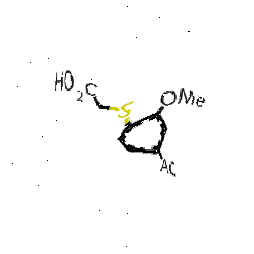 COc1cc(C(C)=O)ccc1SCC(=O)O